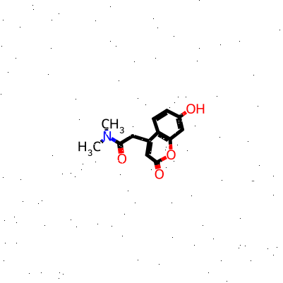 CN(C)C(=O)Cc1cc(=O)oc2cc(O)ccc12